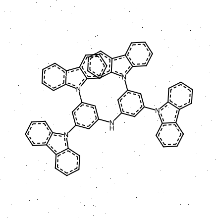 c1ccc2c(c1)c1ccccc1n2-c1cc(Nc2cc(-n3c4ccccc4c4ccccc43)cc(-n3c4ccccc4c4ccccc43)c2)cc(-n2c3ccccc3c3ccccc32)c1